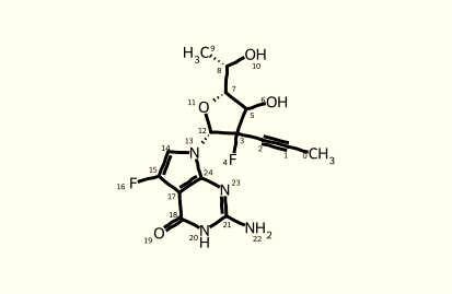 CC#CC1(F)C(O)[C@@H]([C@H](C)O)O[C@H]1n1cc(F)c2c(=O)[nH]c(N)nc21